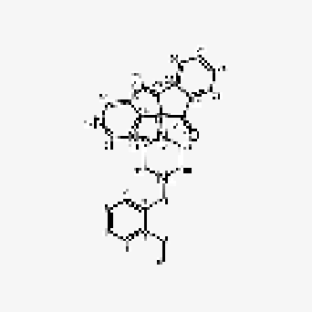 CCc1ccccc1CN1CCN(C2(c3ccncn3)C(=O)c3ccccc3C2=O)CC1